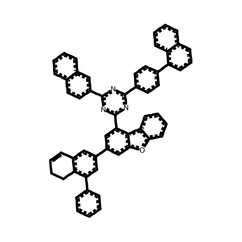 C1=Cc2cc(-c3cc(-c4nc(-c5ccc(-c6cccc7ccccc67)cc5)nc(-c5ccc6ccccc6c5)n4)c4c(c3)oc3ccccc34)cc(-c3ccccc3)c2CC1